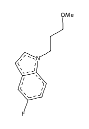 COCCCn1ccc2cc(F)ccc21